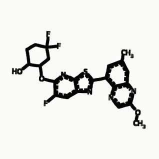 COc1cnc2c(-c3nc4cc(F)c(OC5CC(F)(F)CCC5O)nc4s3)cc(C)cc2n1